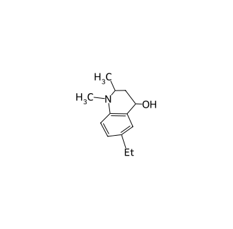 CCc1ccc2c(c1)C(O)CC(C)N2C